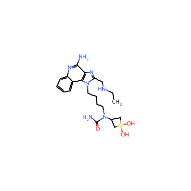 CCNCc1nc2c(N)nc3ccccc3c2n1CCCCN(C(N)=O)C1CS(O)(O)C1